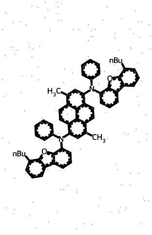 CCCCc1cccc2c1oc1c(N(c3ccccc3)c3cc(C)c4ccc5c(N(c6ccccc6)c6cccc7c6oc6c(CCCC)cccc67)cc(C)c6ccc3c4c65)cccc12